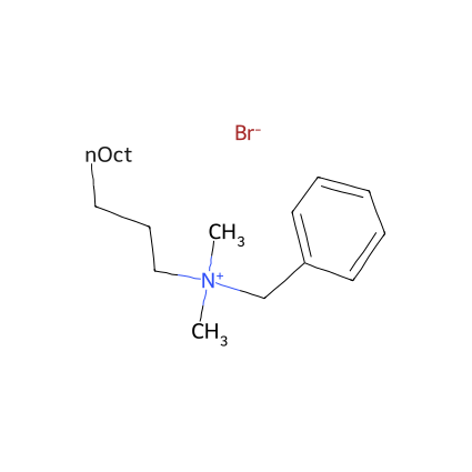 CCCCCCCCCCC[N+](C)(C)Cc1ccccc1.[Br-]